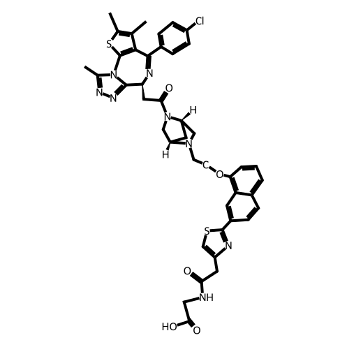 Cc1sc2c(c1C)C(c1ccc(Cl)cc1)=N[C@@H](CC(=O)N1C[C@@H]3C[C@H]1CN3CCOc1cccc3ccc(-c4nc(CC(=O)NCC(=O)O)cs4)cc13)c1nnc(C)n1-2